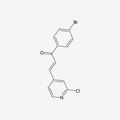 O=C(C=Cc1ccnc(Cl)c1)c1ccc(Br)cc1